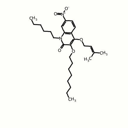 CCCCCCCCOc1c(OCC=C(C)C)c2ccc([N+](=O)[O-])cc2n(CCCCCC)c1=O